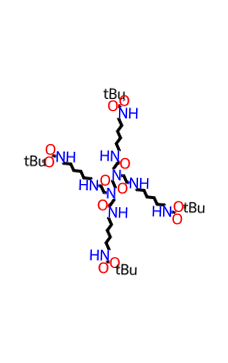 CC(C)(C)OC(=O)NCCCCCCNC(=O)CN(CCN(CC(=O)NCCCCCCNC(=O)OC(C)(C)C)CC(=O)NCCCCCCNC(=O)OC(C)(C)C)CC(=O)NCCCCCCNC(=O)OC(C)(C)C